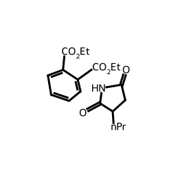 CCCC1CC(=O)NC1=O.CCOC(=O)c1ccccc1C(=O)OCC